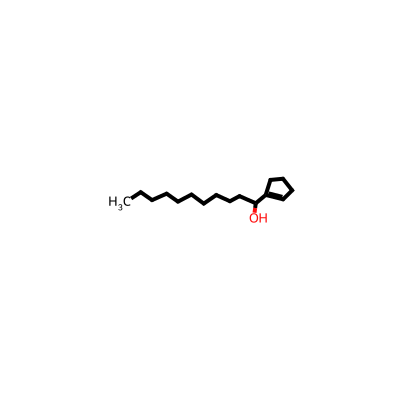 CCCCCCCCCCC(O)C1=CCCC1